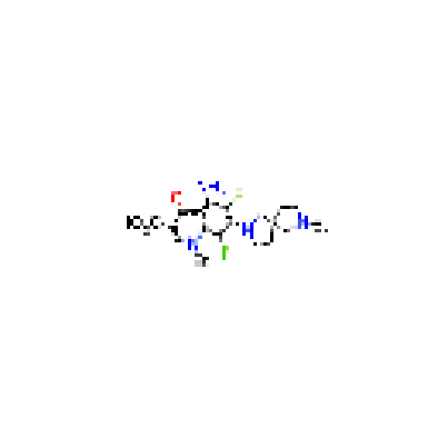 CCN1CCC2(CCN(c3c(F)c(N)c4c(=O)c(C(=O)O)cn(CC)c4c3F)C2)C1